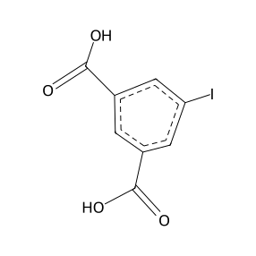 O=C(O)c1cc(I)cc(C(=O)O)c1